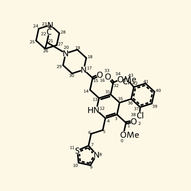 COC(=O)C1=C(CCc2nccs2)NC(CC(=O)N2CCN(C3CN4CCC3CC4)CC2)=C(C(=O)OC)C1c1c(Cl)cccc1Cl